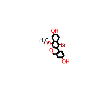 COc1c2c(c(Br)c3ccc(O)cc13)-c1ccc(O)cc1CO2